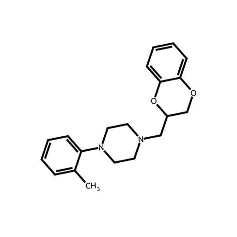 Cc1ccccc1N1CCN(CC2COc3ccccc3O2)CC1